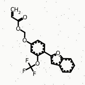 C=CC(=O)OCOc1ccc(-c2cc3ccccc3o2)c(OC(F)(F)F)c1